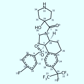 O=C(N1CC[C@]2(S(=O)(=O)c3ccc(F)cc3)c3ccc(C(F)(C(F)(F)F)C(F)(F)F)cc3CC[C@H]12)C1(O)CCNCC1